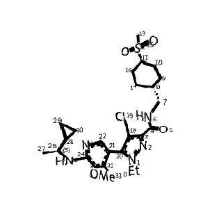 CCn1nc(C(=O)NC[C@H]2CC[C@H](S(C)(=O)=O)CC2)c(Cl)c1-c1cnc(N[C@@H](C)C2CC2)cc1OC